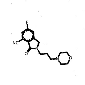 N#Cc1cc(F)cc2c1C(=O)N(CCCN1CCOCC1)C2